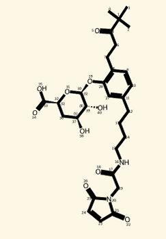 CC(C)(C)C(=O)CCc1ccc(CCCCNC(=O)CN2C(=O)C=CC2=O)cc1O[C@@H]1O[C@H](C(=O)O)C[C@H](O)[C@H]1O